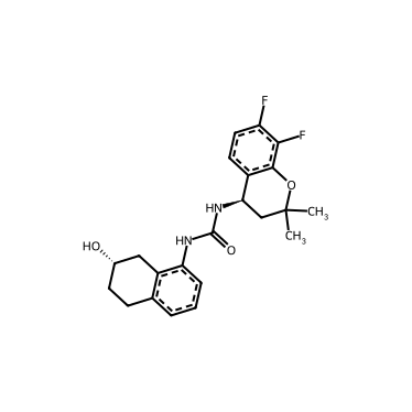 CC1(C)C[C@@H](NC(=O)Nc2cccc3c2C[C@@H](O)CC3)c2ccc(F)c(F)c2O1